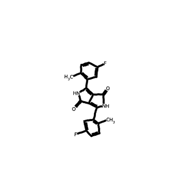 Cc1ccc(F)cc1C1=C2C(=O)NC(c3cc(F)ccc3C)=C2C(=O)N1